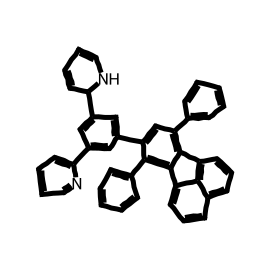 C1=CNC(c2cc(-c3ccccn3)cc(-c3cc(-c4ccccc4)c4c(c3-c3ccccc3)-c3cccc5cccc-4c35)c2)C=C1